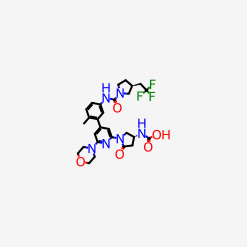 Cc1ccc(NC(=O)N2CC[C@@H](CC(F)(F)F)C2)cc1-c1cc(N2CCOCC2)nc(N2C[C@H](NC(=O)O)CC2=O)c1